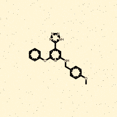 COc1ccc(CNc2cc(-c3nnn[nH]3)cc(Oc3ccccc3)n2)cc1